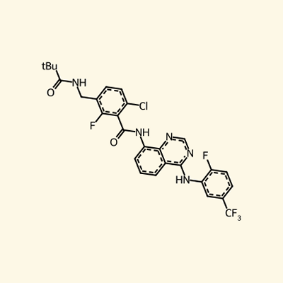 CC(C)(C)C(=O)NCc1ccc(Cl)c(C(=O)Nc2cccc3c(Nc4cc(C(F)(F)F)ccc4F)ncnc23)c1F